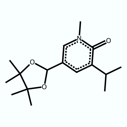 CC(C)c1cc(C2OC(C)(C)C(C)(C)O2)cn(C)c1=O